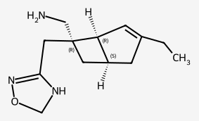 CCC1=C[C@H]2[C@@H](C1)C[C@@]2(CN)CC1=NOCN1